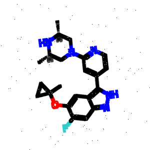 C[C@@H]1CN(c2cc(-c3[nH]nc4cc(F)c(OC5(C)CC5)cc34)ccn2)C[C@H](C)N1